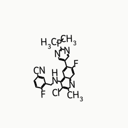 Cc1nc2cc(F)c(-c3cnc(P(C)C)nc3)cc2c(NCc2cc(C#N)ccc2F)c1Cl